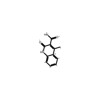 Cc1c(C([NH])=O)c(=O)[nH]c2ccccc12